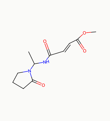 COC(=O)C=CC(=O)NC(C)N1CCCC1=O